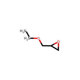 [SiH3][SiH2]OCC1CO1